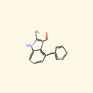 Cc1[nH]c2cccc(-c3ccccc3)c2c1C=O